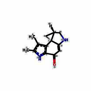 Cc1[nH]c2c(c1C)[C@@]13C[C@@H]1CNC3=CC2=O